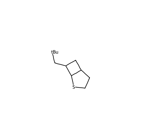 CC(C)(C)CC1CC2CCSC21